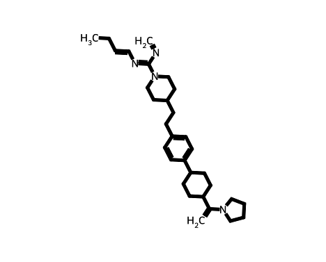 C=N/C(=N\C=C\CC)N1CCC(CCc2ccc(C3CCC(C(=C)N4CCCC4)CC3)cc2)CC1